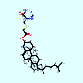 CN[C@@H](CSCC(=O)OC1CC[C@@]2(C)C(=CC[C@H]3[C@@H]4CC[C@H]([C@H](C)CCCC(C)C)[C@@]4(C)CC[C@@H]32)C1)C(N)=O